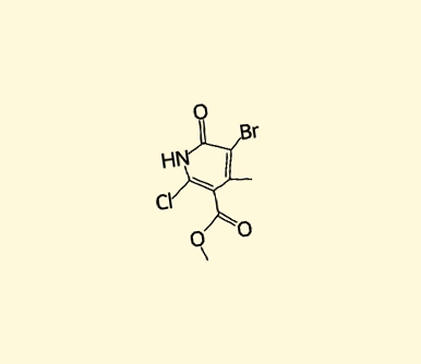 COC(=O)c1c(Cl)[nH]c(=O)c(Br)c1C